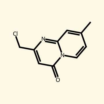 Cc1ccn2c(=O)cc(CCl)nc2c1